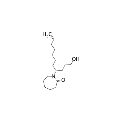 C=CCCCCCC(CCCO)N1CCCCCC1=O